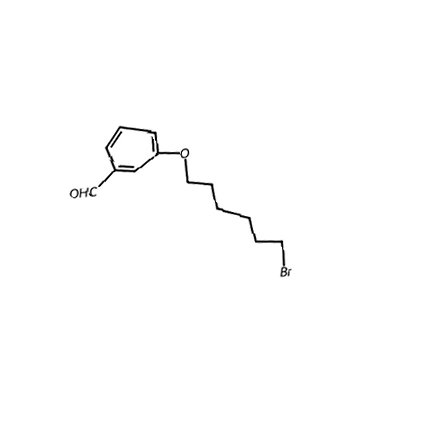 O=Cc1cccc(OCCCCCCBr)c1